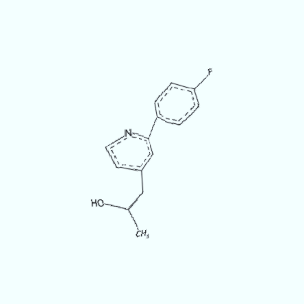 CC(O)Cc1ccnc(-c2ccc(F)cc2)c1